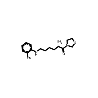 N#Cc1ccccc1NCCCC[C@H](N)C(=O)N1CCSC1